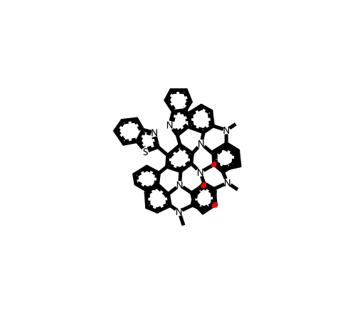 CN1c2ccccc2N(c2c(-c3ccccc3)c(-c3nc4ccccc4s3)c(-c3nc4ccccc4s3)c(N3c4ccccc4N(C)c4ccccc43)c2N2c3ccccc3N(C)c3ccccc32)c2ccccc21